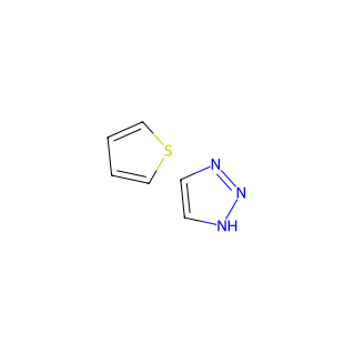 c1c[nH]nn1.c1ccsc1